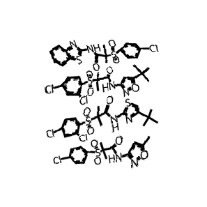 CC(C)(C(=O)Nc1nc2ccccc2s1)S(=O)(=O)c1ccc(Cl)cc1.CC(C)(C)c1cc(NC(=O)C(C)(C)S(=O)(=O)c2ccc(Cl)cc2Cl)no1.CC(C)(C)c1csc(NC(=O)C(C)(C)S(=O)(=O)c2ccc(Cl)cc2Cl)n1.Cc1cc(NC(=O)C(C)(C)S(=O)(=O)c2ccc(Cl)cc2)no1